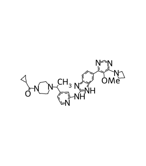 COc1c(-c2ccc3nc(Nc4cc(C(C)N5CCN(C(=O)C6CC6)CC5)ccn4)[nH]c3c2)ncnc1N1CCC1